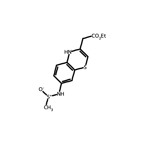 CCOC(=O)CC1=CSc2cc(N[S+](C)[O-])ccc2N1